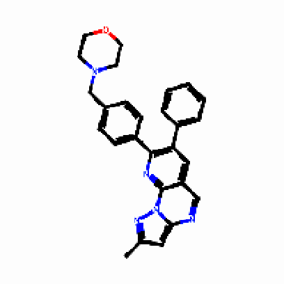 Cc1cc2ncc3cc(-c4ccccc4)c(-c4ccc(CN5CCOCC5)cc4)nc3n2n1